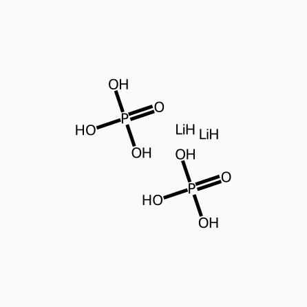 O=P(O)(O)O.O=P(O)(O)O.[LiH].[LiH]